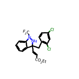 CCOC(=O)C=CC1(Cc2ccc(Cl)cc2Cl)NN(C(F)(F)F)c2ccccc21